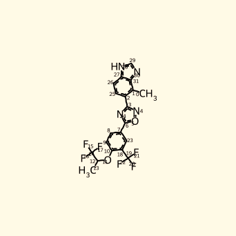 Cc1c(-c2noc(-c3ccc(OC(C)C(F)(F)F)c(C(F)(F)F)c3)n2)ccc2[nH]cnc12